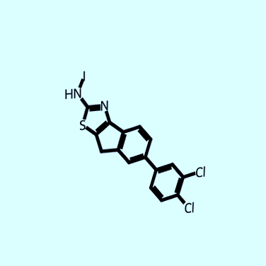 Clc1ccc(-c2ccc3c(c2)Cc2sc(NI)nc2-3)cc1Cl